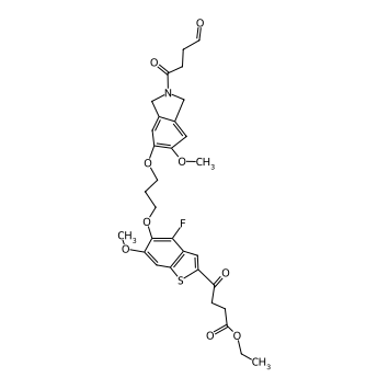 CCOC(=O)CCC(=O)c1cc2c(F)c(OCCCOc3cc4c(cc3OC)CN(C(=O)CCC=O)C4)c(OC)cc2s1